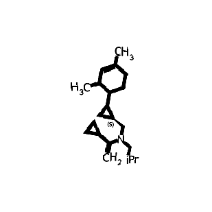 C=C(C1CC1)N(CC(C)C)C[C@H]1CC1C1CCC(C)=CC1C